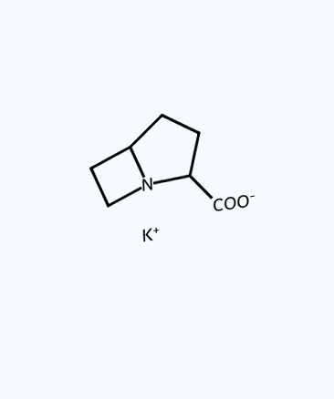 O=C([O-])C1CCC2CCN21.[K+]